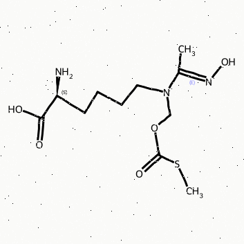 CSC(=O)OCN(CCCC[C@H](N)C(=O)O)/C(C)=N/O